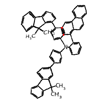 CC1(C)c2ccccc2-c2ccc(-c3ccc(N(c4ccc(-c5cccc6c5C(C)(C)c5ccccc5-6)cc4)c4ccccc4-c4cccc5c4ccc4ccccc45)cc3)cc21